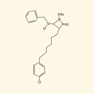 CC(=O)ON1C(=O)C(CCCCCCc2ccc(Cl)cc2)C1[S+]([O-])Cc1ccccc1